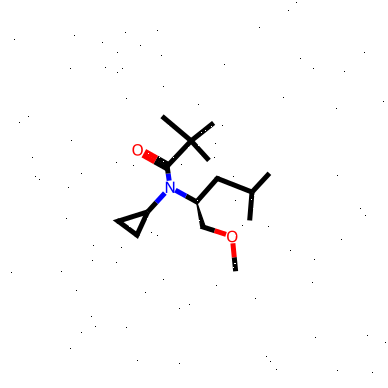 COC[C@H](CC(C)C)N(C(=O)C(C)(C)C)C1CC1